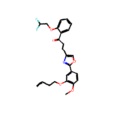 C=CCCOc1cc(-c2nc(CCC(=O)c3ccccc3OCC(F)F)co2)ccc1OC